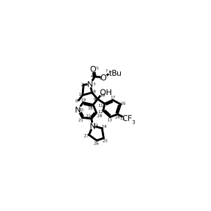 CC1CN(C(=O)OC(C)(C)C)C1C(O)(c1ccc(C(F)(F)F)cc1)c1cncc(N2CCCC2)c1